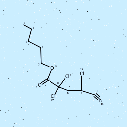 CCCCCOC(=O)C(Cl)(Cl)CC(Cl)C#N